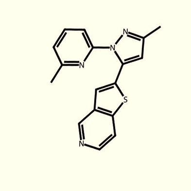 Cc1cccc(-n2nc(C)cc2-c2cc3cnccc3s2)n1